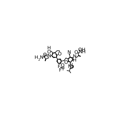 C=C(CNc1cc(-c2ccc(OC(F)(F)F)c(C3Cc4c(C#N)c(NCC(=C)C(=O)NO)cc(-n5ccc(C(C)C)n5)c4O3)c2)c2c(c1CO)CCO2)C(N)=O